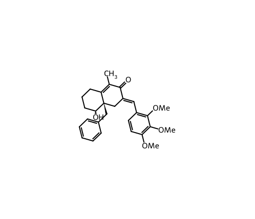 COc1ccc(/C=C2\C[C@@]3(Cc4ccccc4)C(=C(C)C2=O)CCC[C@@H]3O)c(OC)c1OC